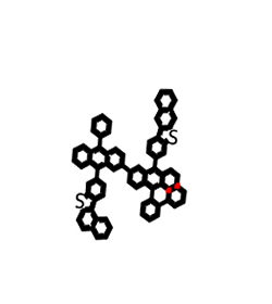 c1ccc(-c2ccccc2-c2c3ccccc3c(-c3ccc4c(c3)sc3cc5ccccc5cc34)c3cc(-c4ccc5c(-c6ccccc6)c6ccccc6c(-c6ccc7c(c6)sc6ccc8ccccc8c67)c5c4)ccc23)cc1